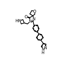 O=C1N(CC2CNC2)C(c2ccc(-c3ccc(-c4cn[nH]c4)cc3)cc2)=NC12CCOC2